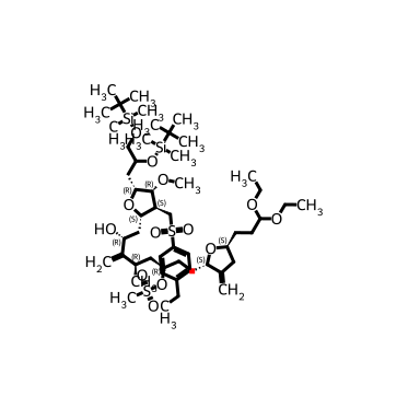 C=C([C@H](C)C[C@@H](CC[C@@H]1O[C@@H](CCC(OCC)OCC)CC1=C)OS(C)(=O)=O)[C@H](O)C[C@@H]1O[C@H](CC(CO[Si](C)(C)C(C)(C)C)O[Si](C)(C)C(C)(C)C)[C@H](OC)[C@H]1CS(=O)(=O)c1ccc(CC)cc1